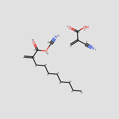 C=C(C#N)C(=O)O.C=C(CCCCCCCC)C(=O)OC#N